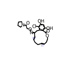 O=C1OCC/C=C/CC/C=C/C(=NOCC(=O)N2CCCC2)Cc2c(Cl)c(O)cc(O)c21